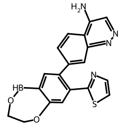 Nc1cnnc2cc(-c3cc4c(cc3-c3nccs3)OCCOB4)ccc12